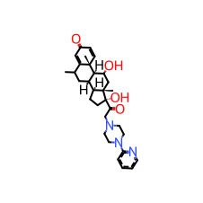 CC1C[C@@H]2[C@H](C(O)C[C@@]3(C)[C@H]2CC[C@]3(O)C(=O)CN2CCN(c3ccccn3)CC2)[C@@]2(C)C=CC(=O)C=C12